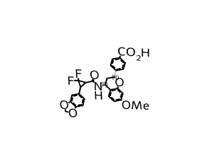 COc1ccc2c(c1)O[C@@H](c1ccc(C(=O)O)cc1)C[C@H]2NC(=O)C1C(c2ccc3c(c2)OCO3)C1(F)F